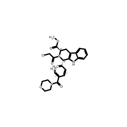 C=C(/C=C\C(=C/C)C(=O)N1CCOCC1)[C@H]1c2[nH]c3ccccc3c2C[C@H](C(=O)OC)N1C(=O)CCl